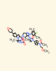 COCCN(C(C)=O)C12CC3C(n4ccn(-c5c6c(nn5-c5cc(C)c(F)c(C)c5)CCN(C(=O)c5cc7cc(C8CCOCC8)ccc7n5[C@@]5(c7noc(=O)[nH]7)C[C@@H]5C)[C@H]6C)c4=O)C(C1)C32